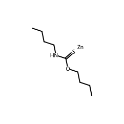 CCCCNC(=S)OCCCC.[Zn]